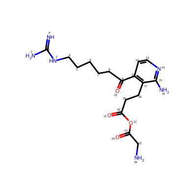 N=C(N)NCCCCCC(=O)c1ccnc(N)c1CCC(=O)OC(=O)CN